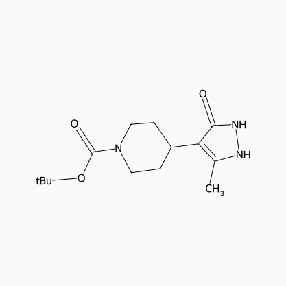 Cc1[nH][nH]c(=O)c1C1CCN(C(=O)OC(C)(C)C)CC1